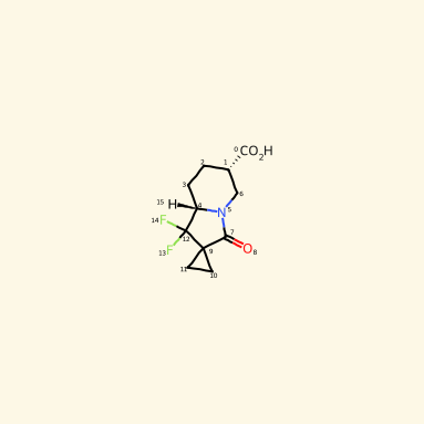 O=C(O)[C@H]1CC[C@@H]2N(C1)C(=O)C1(CC1)C2(F)F